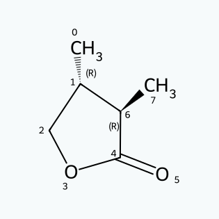 C[C@H]1COC(=O)[C@@H]1C